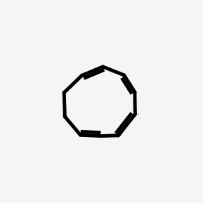 [C]1=CC=CCCC=CC=C1